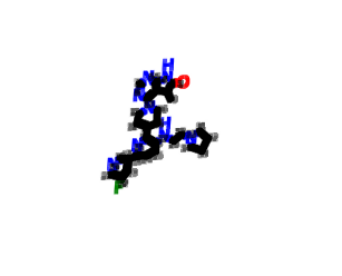 CC1C(=O)Nc2ncnc(N3CC=C(c4nc(-c5cncc(F)c5)ccc4NCCN4CCCC4)CC3)c21